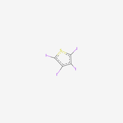 Ic1sc(I)c(I)c1I